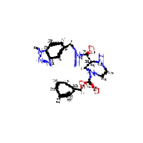 Cn1nnc2cc(CNC(=O)[C@@H]3CN(C(=O)OCc4ccccc4)CCN3)ccc21